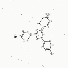 BrC1=CC=C(C2C=C(C3C=CC(Br)CC3)C=C(C3CC=C(Br)CC3)C2)CC1